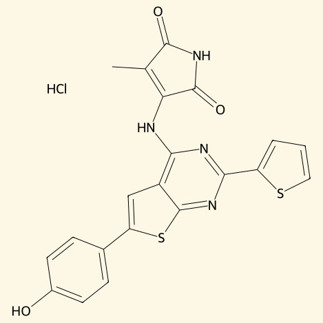 CC1=C(Nc2nc(-c3cccs3)nc3sc(-c4ccc(O)cc4)cc23)C(=O)NC1=O.Cl